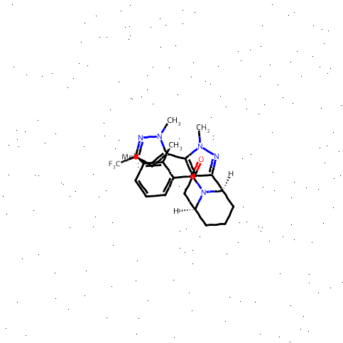 COc1cccc(C(=O)N2[C@H]3CCC[C@@H]2c2nn(C)c(-c4cc(C(F)(F)F)nn4C)c2C3)c1C